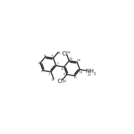 Cc1c[c]cc(C)c1-c1c(Cl)cc(N)cc1Cl